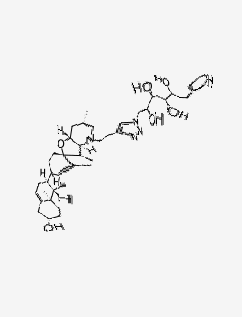 CC1=C2C[C@H]3[C@@H](CC=C4C[C@@H](O)CC[C@@]43C)[C@@H]2CC[C@]12O[C@@H]1C[C@H](C)CN(Cc3cn(CC(O)C(O)C(O)C(O)CO)nn3)[C@H]1[C@H]2C